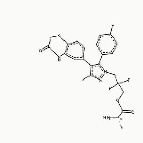 Cc1nn(CC(F)(F)COC(=O)[C@H](C)N)c(-c2ccc(F)cc2)c1-c1ccc2c(c1)NC(=O)CO2